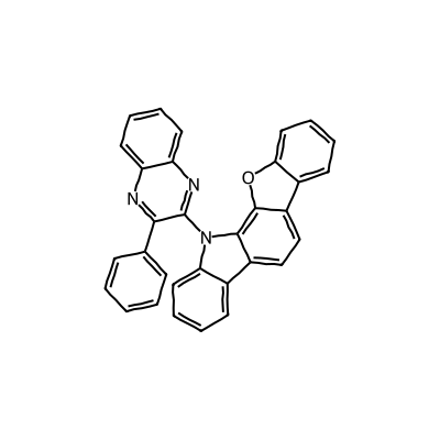 c1ccc(-c2nc3ccccc3nc2-n2c3ccccc3c3ccc4c5ccccc5oc4c32)cc1